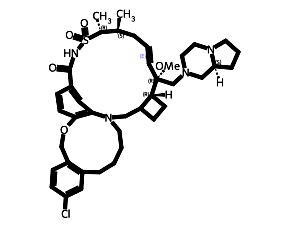 CO[C@@]1(CN2CCN3CCC[C@H]3C2)/C=C/C[C@H](C)[C@@H](C)S(=O)(=O)NC(=O)c2ccc3c(c2)N(CCCCc2cc(Cl)ccc2CO3)CC2CC[C@H]21